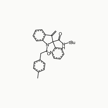 C=C1c2ccccc2N(C(=O)Cc2ccc(C)cc2)C1(C(=O)NC(C)(C)C)c1ccccn1